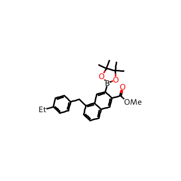 CCc1ccc(Cc2cccc3cc(C(=O)OC)c(B4OC(C)(C)C(C)(C)O4)cc23)cc1